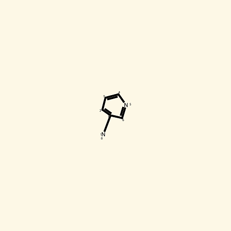 [N]c1cccnc1